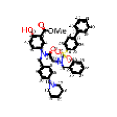 COC(=O)c1cc(N(Cc2ccc(N3CCCCC3)cc2)C(=O)CN(Cc2ccccc2)S(=O)(=O)c2ccc(-c3ccccc3)cc2)ccc1O